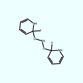 FC1(OBOC2(F)C=CC=CN2)C=CC=CN1